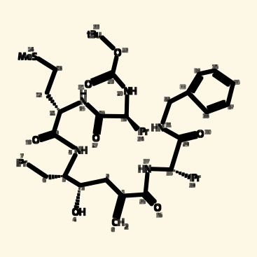 C=C(C[C@H](O)[C@H](CC(C)C)NC(=O)[C@H](CCSC)NC(=O)[C@@H](NC(=O)OC(C)(C)C)C(C)C)C(=O)N[C@H](C(=O)NCc1ccccc1)C(C)C